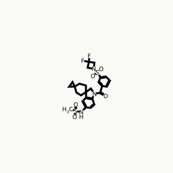 CS(=O)(=O)Nc1ccc2c(c1)C1(CCC3(CC3)CC1)CN2C(=O)c1cccc(S(=O)(=O)N2CC(F)(F)C2)c1